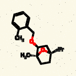 Cc1ccccc1CO[C@H]1C[C@]2(C(C)C)CC[C@]1(C)O2